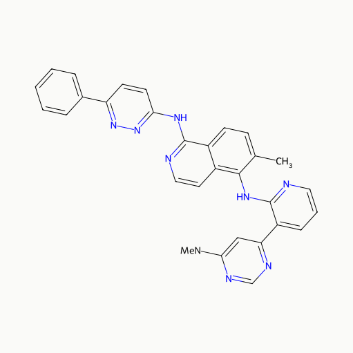 CNc1cc(-c2cccnc2Nc2c(C)ccc3c(Nc4ccc(-c5ccccc5)nn4)nccc23)ncn1